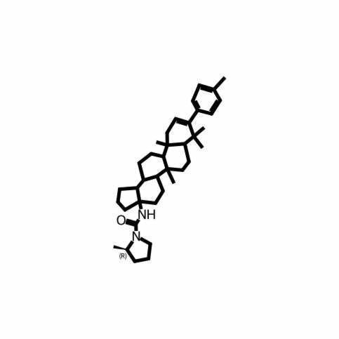 Cc1ccc(C2=CCC3(C)C(CCC4(C)C5CCC6(NC(=O)N7CCC[C@H]7C)CCCC6C5CCC43)C2(C)C)cc1